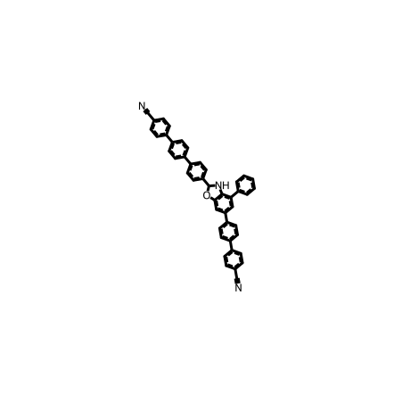 N#Cc1ccc(-c2ccc(-c3ccc(C4Nc5c(cc(-c6ccc(-c7ccc(C#N)cc7)cc6)cc5-c5ccccc5)O4)cc3)cc2)cc1